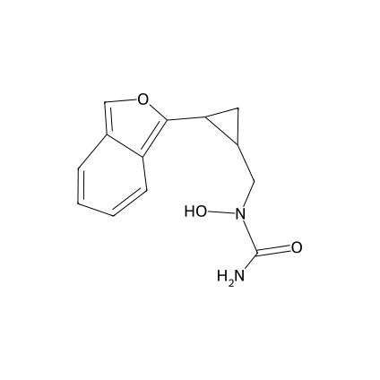 NC(=O)N(O)CC1CC1c1occ2ccccc12